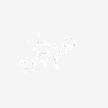 O=C1NC(C23CCC(CC2)O3)=CN2CC(F)(F)Cc3c(-c4cn[nH]c4)sc1c32